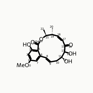 COc1cc(O)c2c(c1)/C=C/C[C@H](O)C(O)C(=O)/C=C\[C@@H](C)[C@H](C)OC2=O